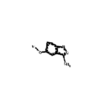 CCOc1ccc2noc(N)c2c1